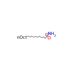 CCCCCCCCCCCCCCCCCCC(=O)ON